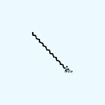 C=CCCCCCCCCCCCCCCCCCC[Si](C)(C)OC